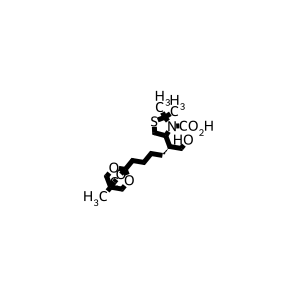 CC12COC(CCCC[C@@H](CO)C3CSC(C)(C)N3C(=O)O)(OC1)OC2